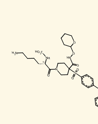 NCCCC[C@H](NC(=O)O)C(=O)N1CCC(C(=O)NOC2CCCCO2)(S(=O)(=O)c2ccc(Oc3ccccc3)cc2)CC1